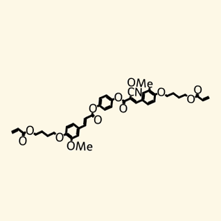 C=CC(=O)OCCCCOc1ccc(/C=C/C(=O)Oc2ccc(OC(=O)/C(C#N)=C/c3ccc(OCCCCOC(=O)C=C)c(OC)c3)cc2)cc1OC